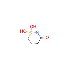 O=C1CCCS(O)(O)[N]1